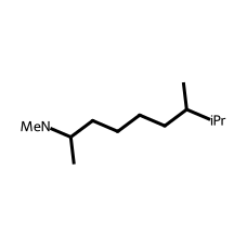 CNC(C)CCCCC(C)C(C)C